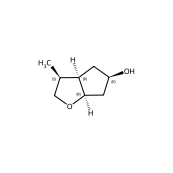 C[C@@H]1CO[C@@H]2C[C@H](O)C[C@H]12